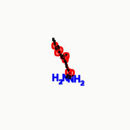 CCCCCOc1ccc(OC(=O)C=Cc2ccc(OCCCCCCCCOC(=O)c3cc(N)cc(N)c3)c(OC)c2)cc1